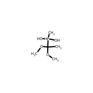 COC(C)(OC)[PH](C)(O)O